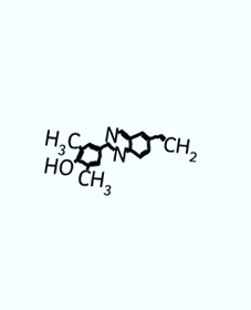 C=Cc1ccc2nc(-c3cc(C)c(O)c(C)c3)ncc2c1